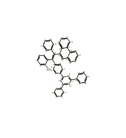 Cc1ccccc1/C(=C(\c1ccccc1)c1cc2ccccc2c2ccccc12)c1ccc(-c2nc(-c3ccccc3)nc(-c3ccccc3)n2)cc1